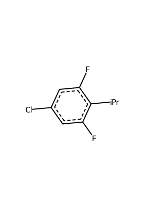 CC(C)c1c(F)cc(Cl)cc1F